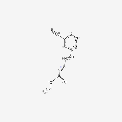 CCOC(=O)/C=C/NNc1cc(C#N)cnn1